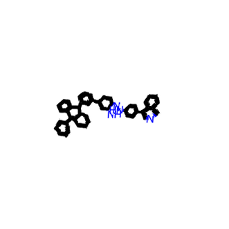 N=C1C=C(c2cccc(C3c4ccccc4C(c4ccccc4)=C4C=CC=CC43)c2)C=C/C1=N/Nc1ccc(-c2cncc3ccccc23)cc1